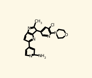 CC1=Nc2ccc(-c3ccnc(N)c3)nc2C1c1cnc(N2CCOCC2)c(Cl)c1